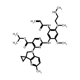 C=CC(=O)Nc1cc(Nc2ncc(C(=O)OC(C)C)c(N3CC4(CC4)c4nc(C)ccc43)n2)c(OC)cc1N(C)CCNC